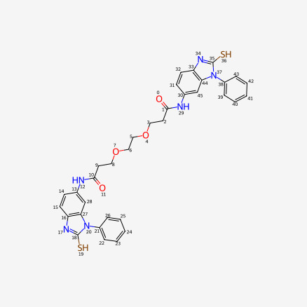 O=C(CCOCCOCCC(=O)Nc1ccc2nc(S)n(-c3ccccc3)c2c1)Nc1ccc2nc(S)n(-c3ccccc3)c2c1